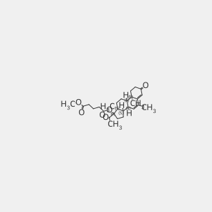 COC(=O)CCCC(=O)O[C@]1(C(C)=O)CC[C@H]2[C@@H]3C=C(C)C4=CC(=O)CC[C@]4(C)[C@H]3CC[C@@]21C